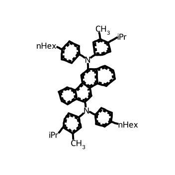 CCCCCCc1ccc(N(c2ccc(C(C)C)c(C)c2)c2cc3c4ccccc4c(N(c4ccc(CCCCCC)cc4)c4ccc(C(C)C)c(C)c4)cc3c3ccccc23)cc1